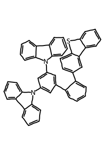 c1ccc(-c2ccc3sc4ccccc4c3c2)c(-c2cc(-n3c4ccccc4c4ccccc43)cc(-n3c4ccccc4c4ccccc43)c2)c1